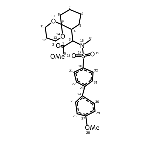 COC(=O)C(C1CCCCC12OCCCO2)N(C)S(=O)(=O)c1ccc(-c2ccc(OC)cc2)cc1